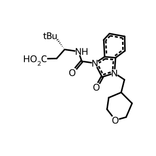 CC(C)(C)[C@@H](CC(=O)O)NC(=O)n1c(=O)n(CC2CCOCC2)c2ccccc21